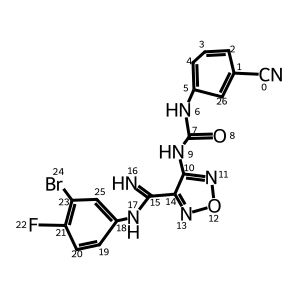 N#Cc1cccc(NC(=O)Nc2nonc2C(=N)Nc2ccc(F)c(Br)c2)c1